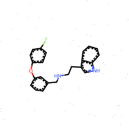 Fc1ccc(Oc2cccc(CNCCc3c[nH]c4ccccc34)c2)cc1